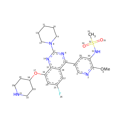 COc1ncc(-c2nc(N3CCCCC3)nc3c(OC4CCNCC4)cc(F)cc23)cc1NS(C)(=O)=O